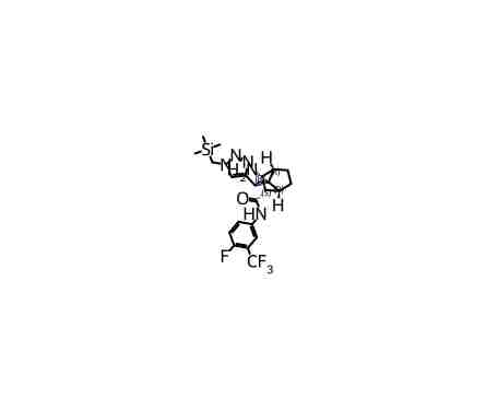 C[Si](C)(C)Cn1cc(/C=C2\[C@H]3CC[C@@H]2[C@H](C(=O)Nc2ccc(F)c(C(F)(F)F)c2)[C@@H]3N)nn1